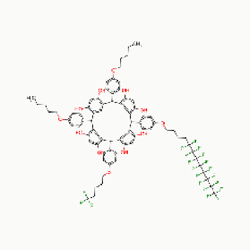 CCCCCOc1ccc(C2c3cc(c(O)cc3O)C(c3ccc(OCCCCC)cc3)c3cc(c(O)cc3O)C(c3ccc(OCCCCC(F)(F)C(F)(F)C(F)(F)C(F)(F)C(F)(F)C(F)(F)C(F)(F)C(F)(F)F)cc3)c3cc(c(O)cc3O)C(c3ccc(OCCCCC(F)(F)F)cc3)c3cc2c(O)cc3O)cc1